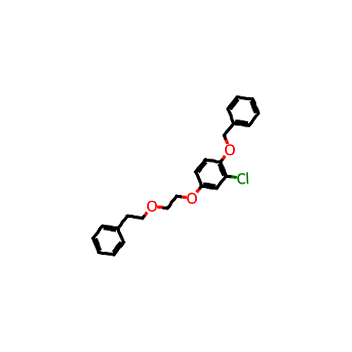 Clc1cc(OCCOCCc2ccccc2)ccc1OCc1ccccc1